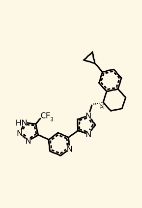 FC(F)(F)c1[nH]nnc1-c1ccnc(-c2cn(C[C@H]3CCCc4ccc(C5CC5)cc43)cn2)c1